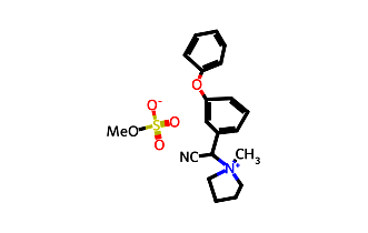 COS(=O)(=O)[O-].C[N+]1(C(C#N)c2cccc(Oc3ccccc3)c2)CCCC1